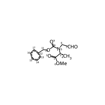 COC(=O)[C@H](C)N(CC=O)C(=O)OCc1ccccc1